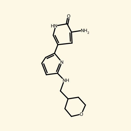 Nc1cc(-c2cccc(NCC3CCOCC3)n2)c[nH]c1=O